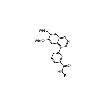 CCNC(=O)c1cccc(-c2cnnc3cc(OC)c(OC)cc23)c1